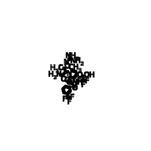 Cc1ccc(NS(=O)(=O)c2cccc(C(F)(F)F)c2)c(=O)n1C(C(N)=O)C(C)ON=C(N)N.O=C(O)C(F)(F)F